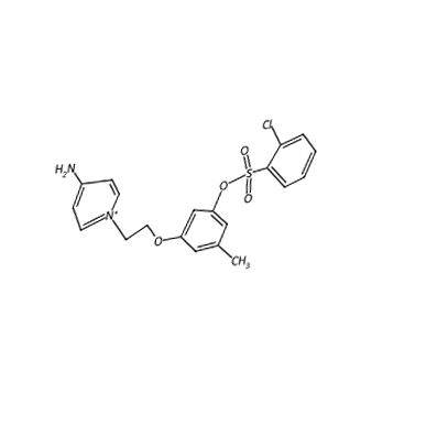 Cc1cc(OCC[n+]2ccc(N)cc2)cc(OS(=O)(=O)c2ccccc2Cl)c1